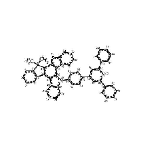 CC1(C)c2ccccc2-c2c1c1sc3ccccc3c1c1c2c2ccccc2n1-c1ccc(-c2cc(-c3ccccc3)nc(-c3ccccc3)c2)cc1